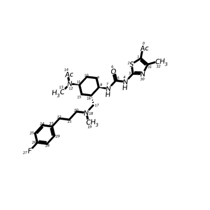 CC(=O)c1sc(NC(=O)N[C@@H]2CC[C@H](N(C)C(C)=O)C[C@H]2CN(C)CCCc2ccc(F)cc2)nc1C